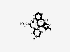 CC(O)C(=O)O.Cc1cc2c(s1)Nc1ccccc1N=C2N1CCN(C)CC1